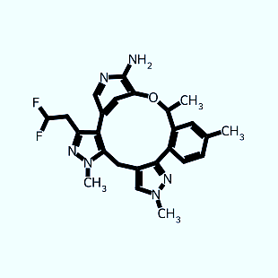 Cc1ccc2c(c1)C(C)Oc1cc(cnc1N)-c1c(CC(F)F)nn(C)c1Cc1cn(C)nc1-2